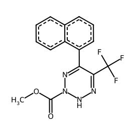 COC(=O)N1N=C(c2cccc3ccccc23)C(C(F)(F)F)=NN1